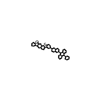 c1ccc(-c2c3ccccc3c(-c3ccc4cc(-c5ccc6sc7c8cc9oc%10ccccc%10c9cc8ccc7c6c5)ccc4c3)c3ccccc23)cc1